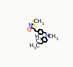 CSC1=NC(=O)C(=Cc2ccc(CN(C)c3ccc(CC(C)C)cc3)cc2)S1